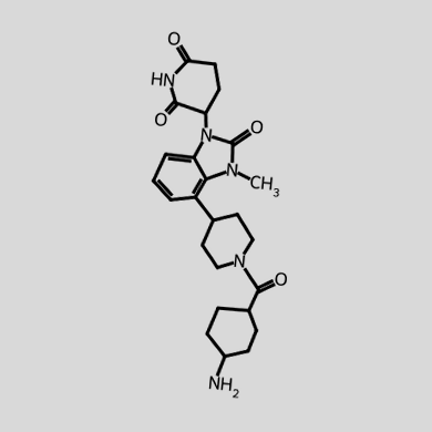 Cn1c(=O)n(C2CCC(=O)NC2=O)c2cccc(C3CCN(C(=O)C4CCC(N)CC4)CC3)c21